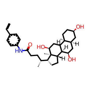 C=Cc1ccc(NC(=O)CC[C@@H](C)[C@H]2CC[C@H]3[C@@H]4[C@H](O)C[C@@H]5C[C@H](O)CC[C@]5(C)[C@H]4C[C@H](O)[C@]23C)cc1